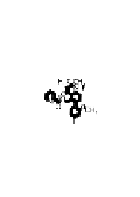 COc1cc(F)ccc1-c1ccc2c(c1COC(=O)c1ccccn1)C(C)=CC(C)(C)N2